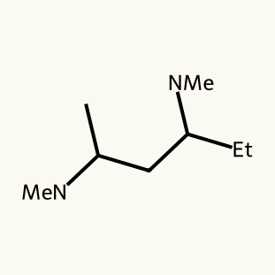 CCC(CC(C)NC)NC